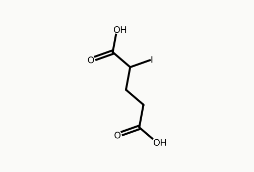 O=C(O)CCC(I)C(=O)O